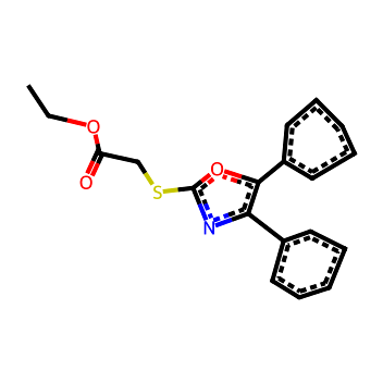 CCOC(=O)CSc1nc(-c2ccccc2)c(-c2ccccc2)o1